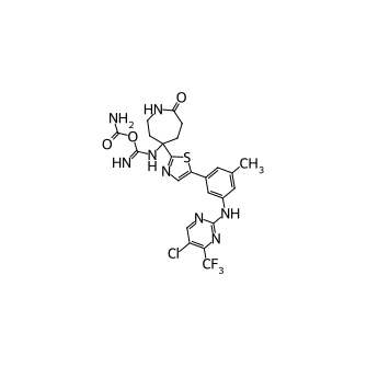 Cc1cc(Nc2ncc(Cl)c(C(F)(F)F)n2)cc(-c2cnc(C3(NC(=N)OC(N)=O)CCNC(=O)CC3)s2)c1